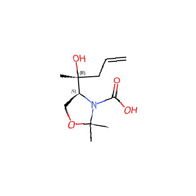 C=CC[C@@](C)(O)[C@@H]1COC(C)(C)N1C(=O)O